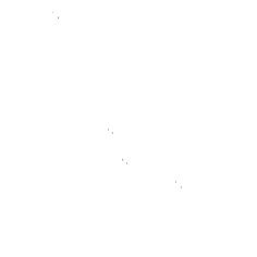 CCc1c(-c2cccc(C#N)c2)nn2ccc(Cl)nc12